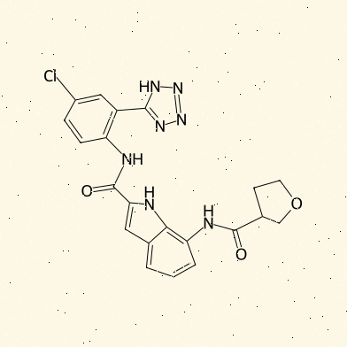 O=C(Nc1ccc(Cl)cc1-c1nnn[nH]1)c1cc2cccc(NC(=O)C3CCOC3)c2[nH]1